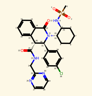 CS(=O)(=O)N[C@H]1CCCC[C@@H]1N1C(=O)c2ccccc2[C@@H](C(=O)NCc2ncccn2)[C@@H]1c1ccc(Cl)cc1